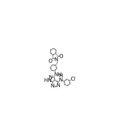 O=C1c2ccccc2C(=O)N1Cc1cccc(Nc2n[nH]c3ncnc(Nc4cccc(Cl)c4)c23)c1